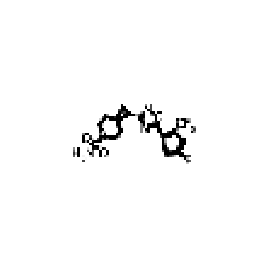 NS(=O)(=O)N1CCC2(CC1)C[C@H]2c1noc(-c2ccc(F)cc2C(F)(F)F)n1